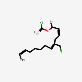 C=C(Cl)OC(/C=C\C/C(=C\CCCC/C=C\CCC)CF)CC